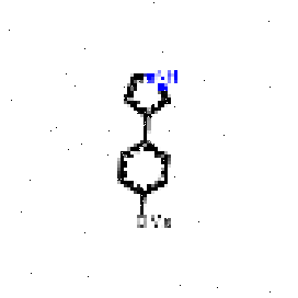 COc1ccc(-c2cc[nH]c2)cc1